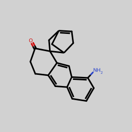 Nc1cccc2cc3c(cc12)C1(CC2=CCC1C2)C(=O)CC3